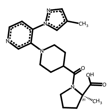 Cc1cnn(-c2ccncc2N2CCC(C(=O)N3CCC[C@]3(C)C(=O)O)CC2)c1